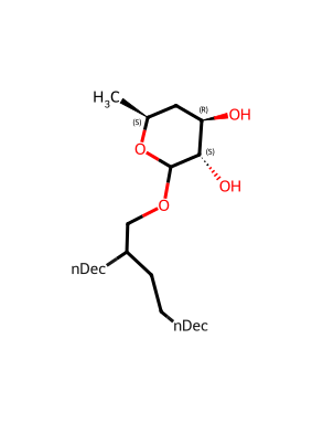 CCCCCCCCCCCCC(CCCCCCCCCC)COC1O[C@@H](C)C[C@@H](O)[C@@H]1O